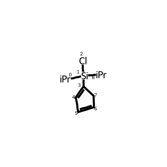 CC(C)[Si](Cl)(C1=CC=CC1)C(C)C